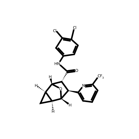 O=C(Nc1ccc(Cl)c(Cl)c1)[C@H]1[C@@H]2O[C@@H]([C@H]3C[C@H]32)[C@@H]1c1cccc(C(F)(F)F)n1